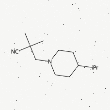 CC(C)C1CCN(CC(C)(C)C#N)CC1